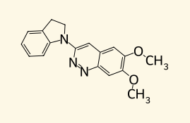 COc1cc2cc(N3CCc4ccccc43)nnc2cc1OC